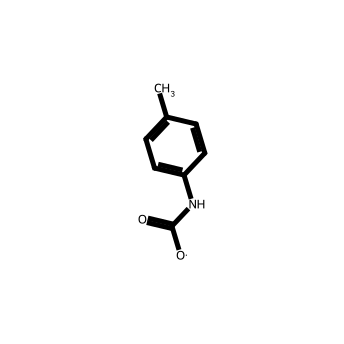 Cc1ccc(NC([O])=O)cc1